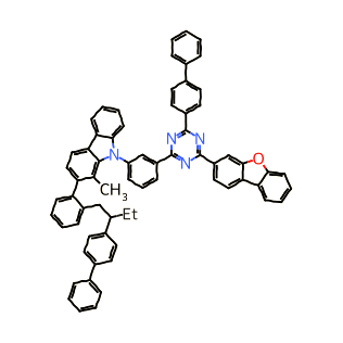 CCC(Cc1ccccc1-c1ccc2c3ccccc3n(-c3cccc(-c4nc(-c5ccc(-c6ccccc6)cc5)nc(-c5ccc6c(c5)oc5ccccc56)n4)c3)c2c1C)c1ccc(-c2ccccc2)cc1